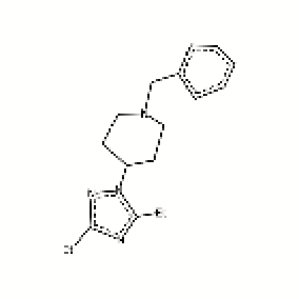 CCc1nc(CC)n(C2CCN(Cc3ccccc3)CC2)n1